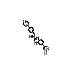 c1cc(N2CCOCC2)ccc1CNc1cnc2cc(-c3cn[nH]c3)ccc2n1